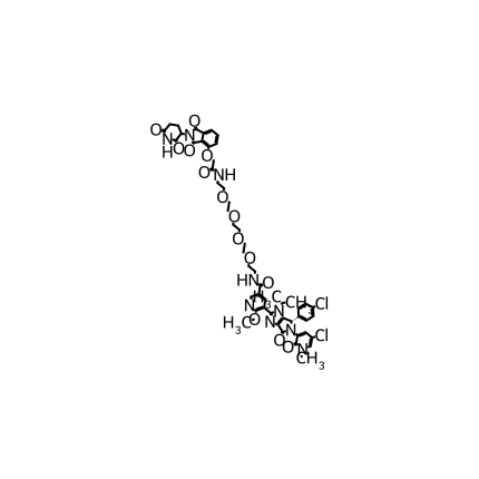 COc1ncc(C(=O)NCCOCCOCCOCCOCCNC(=O)COc2cccc3c2C(=O)N(C2CCC(=O)NC2=O)C3=O)cc1-c1nc2c(n1C(C)C)[C@H](c1ccc(Cl)cc1)N(c1cc(Cl)cn(C)c1=O)C2=O